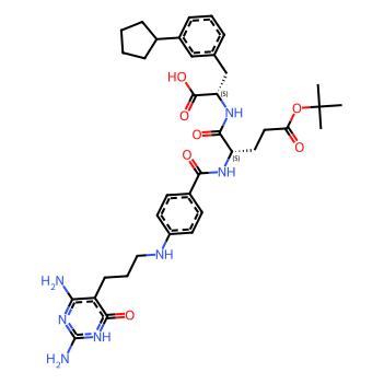 CC(C)(C)OC(=O)CC[C@H](NC(=O)c1ccc(NCCCc2c(N)nc(N)[nH]c2=O)cc1)C(=O)N[C@@H](Cc1cccc(C2CCCC2)c1)C(=O)O